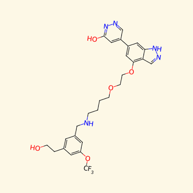 OCCc1cc(CNCCCCOCCOc2cc(-c3cnnc(O)c3)cc3[nH]ncc23)cc(OC(F)(F)F)c1